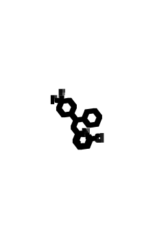 FC1(F)CCC(C(Cc2cccc(Cl)n2)C2CCCCC2)CC1